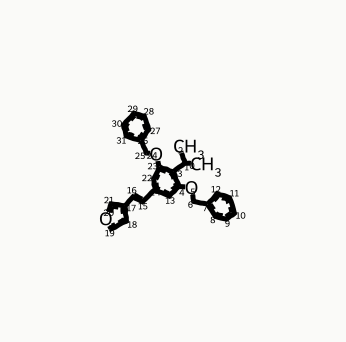 CC(C)c1c(OCc2ccccc2)cc(C=Cc2ccoc2)cc1OCc1ccccc1